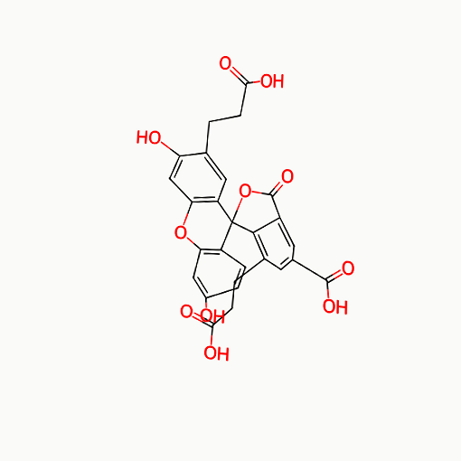 O=C(O)CCc1cc2c(cc1O)Oc1cc(O)ccc1C21OC(=O)c2cc(C(=O)O)cc(CCC(=O)O)c21